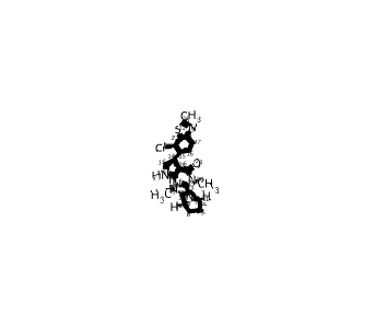 CN[C@@H]1C[C@@H]2CC[C@H]1N2c1nc2[nH]cc(-c3ccc4nc(C)sc4c3Cl)c2c(=O)n1C